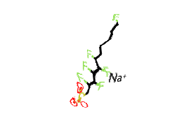 O=S(=O)([O-])CC(F)C(F)C(F)C(F)C(F)CCCCCF.[Na+]